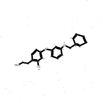 OCCc1ccc(Sc2cccc(OCc3ccccc3)c2)cc1Cl